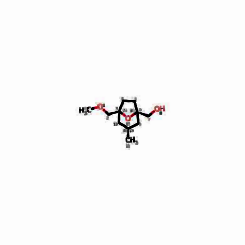 COC[C@]12CC[C@](CO)(C[C@@H](C)C1)O2